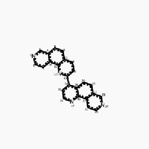 [c]1cc2ccc3cnccc3c2nc1-c1ccnc2c1ccc1cnccc12